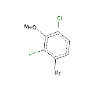 COc1c(Cl)ccc(C(C)C)c1F